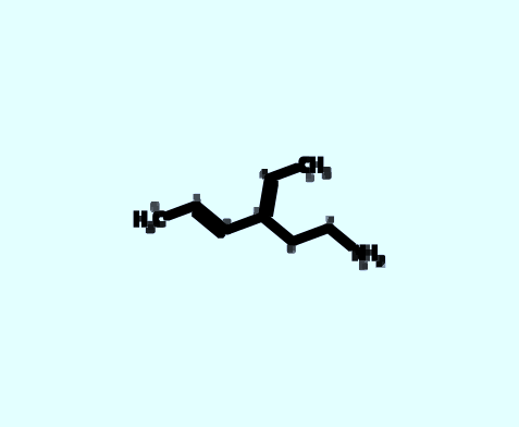 CC=CC(=CC)CCN